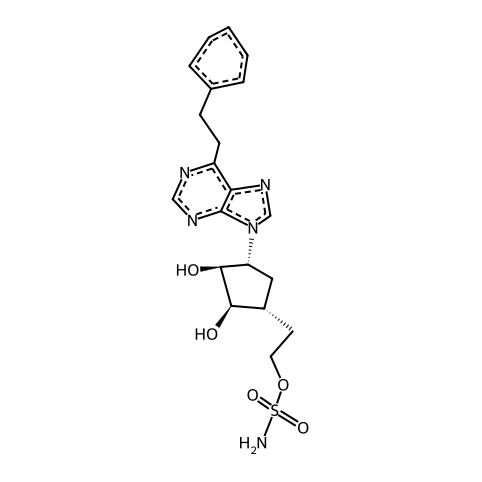 NS(=O)(=O)OCC[C@H]1C[C@@H](n2cnc3c(CCc4ccccc4)ncnc32)[C@H](O)[C@@H]1O